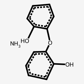 N.Oc1ccccc1Oc1ccccc1O